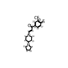 O=C(C=CN1CCC(N2CCCC2)CC1)c1ccc(F)c(C(F)(F)F)c1